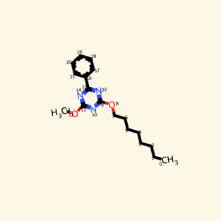 CCCCCCCCOc1nc(OC)nc(-c2ccccc2)n1